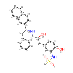 CS(=O)(=O)Nc1cc(C[C@H](O)CNC(Cc2ccccc2)c2ccc3ccccc3c2)ccc1O